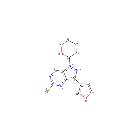 Clc1ncc2c(n1)c(-c1ccoc1)nn2C1CCCCO1